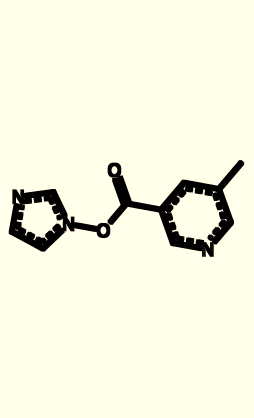 Cc1cncc(C(=O)On2ccnc2)c1